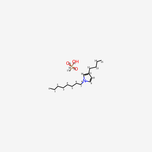 CCCCCCCCn1ccc(CCCC)c1.CS(=O)(=O)O